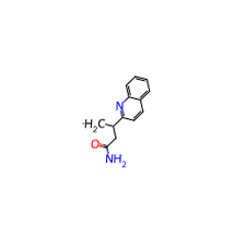 [CH2]C(CC(N)=O)c1ccc2ccccc2n1